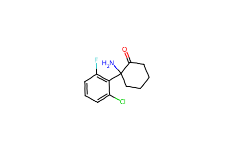 NC1(c2c(F)cccc2Cl)CCCCC1=O